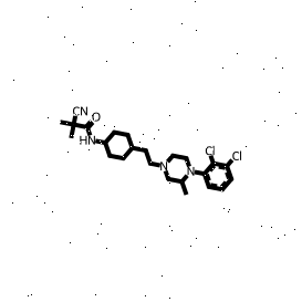 CC1CN(CCC2CCC(NC(=O)C(C)(C)C#N)CC2)CCN1c1cccc(Cl)c1Cl